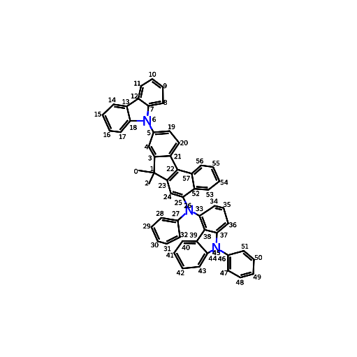 CC1(C)c2cc(-n3c4ccccc4c4ccccc43)ccc2-c2c1cc(N(c1ccccc1)c1cccc3c1c1ccccc1n3-c1ccccc1)c1ccccc21